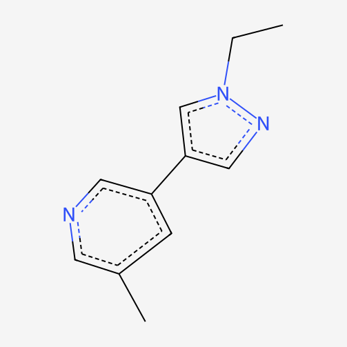 CCn1cc(-c2cncc(C)c2)cn1